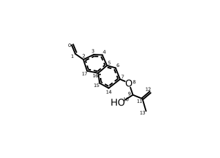 C=Cc1ccc2cc(OC(O)C(=C)C)ccc2c1